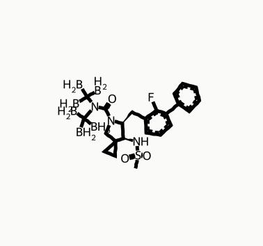 BC(B)(B)N(C(=O)N1CC2(CC2)[C@H](NS(C)(=O)=O)[C@@H]1Cc1cccc(-c2ccccc2)c1F)C(B)(B)B